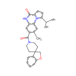 CCCC(CCC)c1ccc2c(=O)[nH]c3cc(C(=O)N4CCC5(CC4)COc4ccccc45)c(C)cc3n12